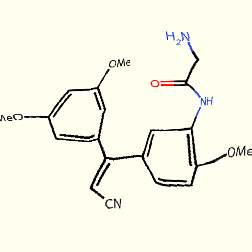 COc1cc(OC)cc(C(=CC#N)c2ccc(OC)c(NC(=O)CN)c2)c1